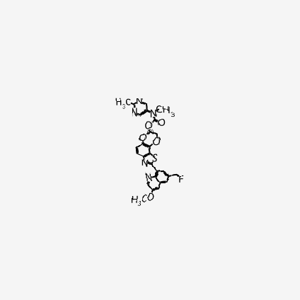 COc1cnc2c(-c3nc4ccc5c(c4s3)OC[C@@H](OC(=O)N(C)c3cnc(C)nc3)O5)cc(CF)cc2c1